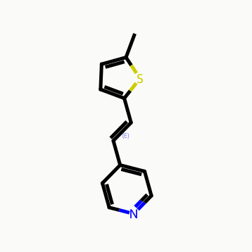 Cc1ccc(/C=C/c2ccncc2)s1